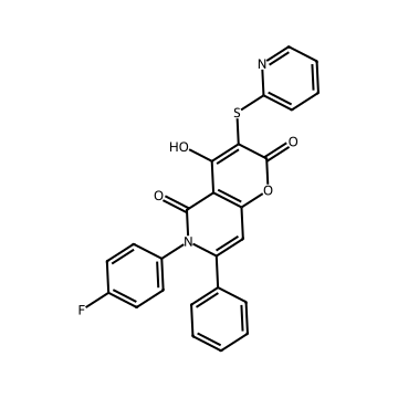 O=c1oc2cc(-c3ccccc3)n(-c3ccc(F)cc3)c(=O)c2c(O)c1Sc1ccccn1